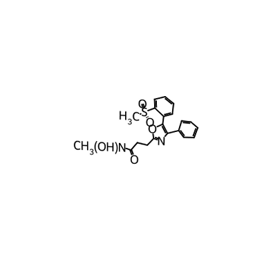 CN(O)C(=O)CCc1nc(-c2ccccc2)c(-c2ccccc2S(C)(=O)=O)o1